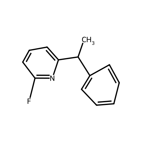 CC(c1ccccc1)c1cccc(F)n1